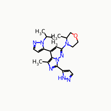 Cc1nc(-c2ccn[nH]2)n2nc(N3CCOCC3C)cc(-c3ccnn3C(C)C)c12